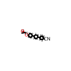 N#Cc1ccc(C2CCC(C3CCC(OCC4CO4)CC3)CC2)cc1